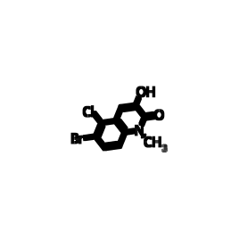 Cn1c(=O)c(O)cc2c(Cl)c(Br)ccc21